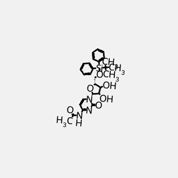 CC(=O)Nc1ccn([C@@H]2O[C@H](CO[Si](c3ccccc3)(c3ccccc3)C(C)(C)C)C(O)C2O)c(=O)n1